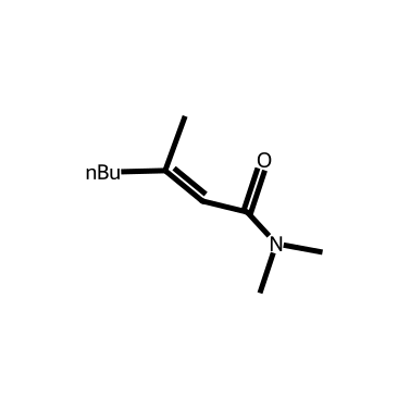 CCCC/C(C)=C/C(=O)N(C)C